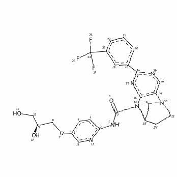 O=C(Nc1ccc(OC[C@@H](O)CO)cn1)N1c2nc(-c3cccc(C(F)(F)F)c3)ncc2N2CCC1C2